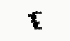 CCCCCOc1ccc(C(=O)Oc2ccc(CCCCC)cc2Cl)cc1C#N